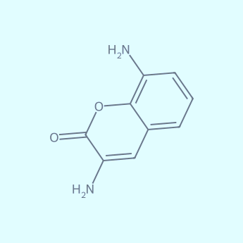 Nc1cc2cccc(N)c2oc1=O